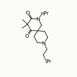 CCCN1CC2(CCN(CCC(C)C)CC2)C(=O)C(C)(C)C1=O